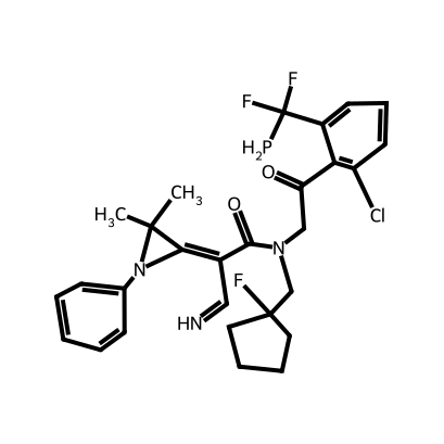 CC1(C)/C(=C(/C=N)C(=O)N(CC(=O)c2c(Cl)cccc2C(F)(F)P)CC2(F)CCCC2)N1c1ccccc1